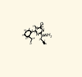 C#CCN(N)c1nc(-c2ccccc2CC)n(C)c(=O)n1